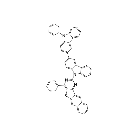 c1ccc(-c2nc(-n3c4ccccc4c4cc(-c5ccc6c(c5)c5ccccc5n6-c5ccccc5)ccc43)nc3c2sc2cc4ccccc4cc23)cc1